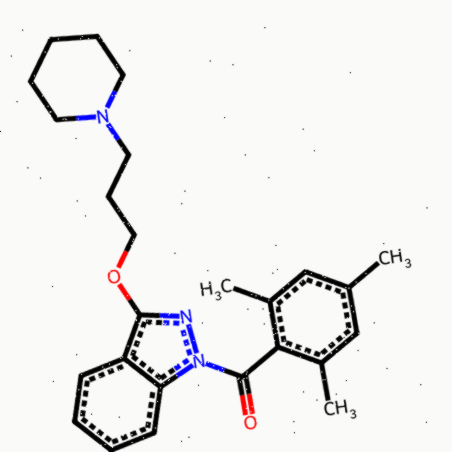 Cc1cc(C)c(C(=O)n2nc(OCCCN3CCCCC3)c3ccccc32)c(C)c1